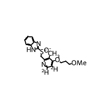 [2H]c1nc(C[S+]([O-])c2nc3ccccc3[nH]2)c(C)c(OCCCOC)c1[2H]